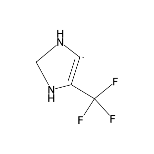 FC(F)(F)C1=[C]NCN1